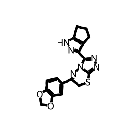 c1cc2c(cc1C1=Nn3c(nnc3-c3n[nH]c4c3CCC4)SC1)OCO2